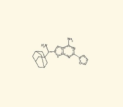 Nc1nc(-c2ccco2)nc2sc(C(N)C34CC5CC(CC(C5)C3)C4)cc12